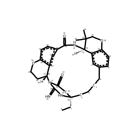 CC[C@]12CCCCc3ccc4c(c3)[C@@H](NC(=O)c3ccc5c(c3)[C@@H](CCO5)N(C(=N)N1)C(=O)C2)C(C)(C)CO4